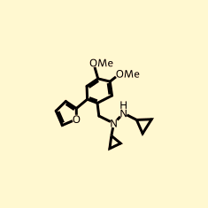 COc1cc(CN(NC2CC2)C2CC2)c(-c2ccco2)cc1OC